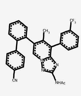 CC(=O)Nc1nc2c(-c3cccc(C(F)(F)F)c3)c(C)c(-c3ccccc3-c3ccc(C#N)cc3)cn2n1